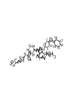 Nc1ncnc2c1c(-c1ccc(Oc3ccccc3)cc1)nn2C1CCCN(C(=O)C=CCNC2CCOC2)C1